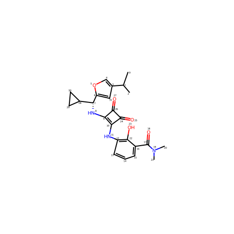 CC(C)c1coc([C@H](Nc2c(Nc3cccc(C(=O)N(C)C)c3O)c(=O)c2=O)C2CC2)c1